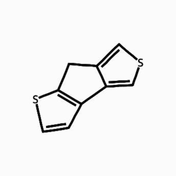 c1cc2c(s1)Cc1cscc1-2